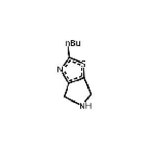 CCCCc1nc2c(s1)CNC2